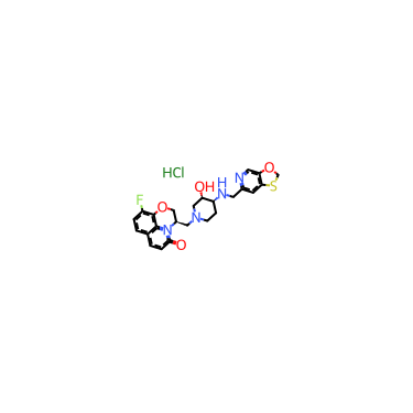 Cl.O=c1ccc2ccc(F)c3c2n1[C@H](CN1CC[C@H](NCc2cc4c(cn2)OCS4)[C@H](O)C1)CO3